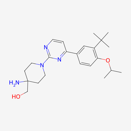 CC(C)Oc1ccc(-c2ccnc(N3CCC(N)(CO)CC3)n2)cc1C(C)(C)C